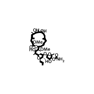 C/C=C/[C@H]1O[C@@H]([C@@H](C)[C@H](O)[C@H](C)[C@H]2OC(=O)/C(OC)=C/C(C)=C/[C@@H](C)[C@@H](O)[C@@H](C)[C@@H](O)[C@H](C)C/C(C)=C/C=C/[C@@H]2OC)C[C@@H](O[C@@H]2C[C@H](O)[C@@H](OC(N)=O)[C@H](C)O2)[C@@H]1C